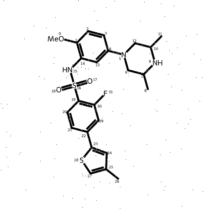 COc1ccc(N2CC(C)NC(C)C2)cc1NS(=O)(=O)c1ccc(-c2cc(C)cs2)cc1F